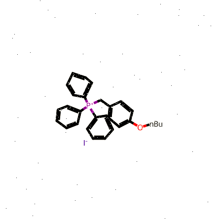 CCCCOc1ccc(C[P+](c2ccccc2)(c2ccccc2)c2ccccc2)cc1.[I-]